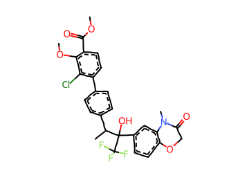 COC(=O)c1ccc(-c2ccc(C(C)C(O)(c3ccc4c(c3)N(C)C(=O)CO4)C(F)(F)F)cc2)c(Cl)c1OC